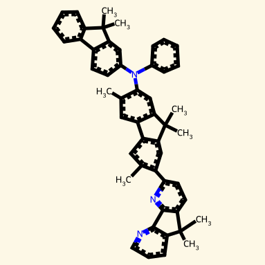 Cc1cc2c(cc1-c1ccc3c(n1)-c1ncccc1C3(C)C)C(C)(C)c1cc(N(c3ccccc3)c3ccc4c(c3)C(C)(C)c3ccccc3-4)c(C)cc1-2